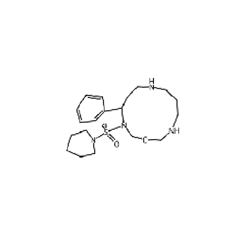 O=S(=O)(N1CCCCC1)N1CCCNCCCNCCC1c1ccccc1